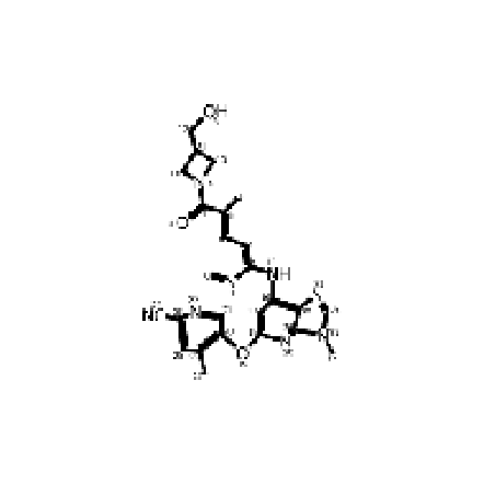 C=N/C(=C\C=C(/C)C(=O)N1CC(CO)C1)Nc1cc(Oc2cnc(C#N)cc2C)nc2c1ncn2C